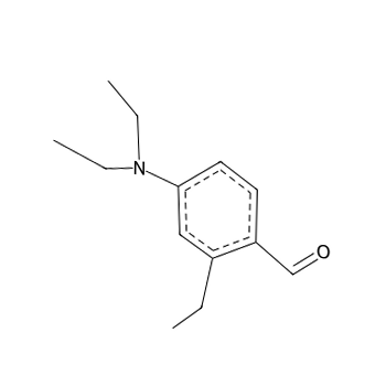 CCc1cc(N(CC)CC)ccc1C=O